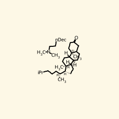 CC(C)CCC[C@@H](C)[C@H]1CC[C@H]2[C@@H]3CCC4CC(=O)CC[C@]4(C)[C@H]3CC[C@]12C.CCCCCCCCCCCCN(C)C